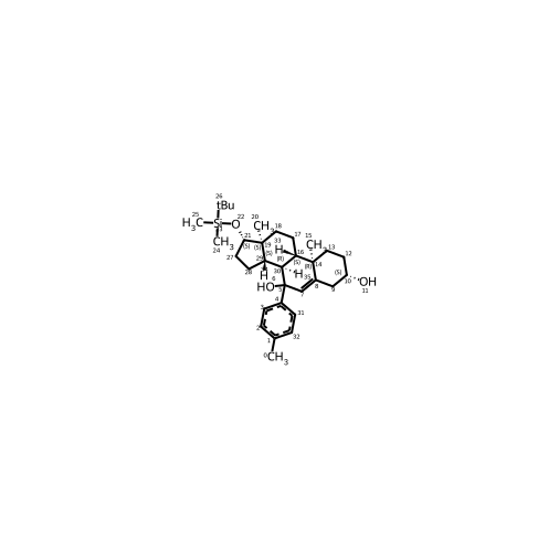 Cc1ccc(C2(O)C=C3C[C@@H](O)CC[C@]3(C)[C@H]3CC[C@]4(C)[C@@H](O[Si](C)(C)C(C)(C)C)CC[C@H]4[C@@H]32)cc1